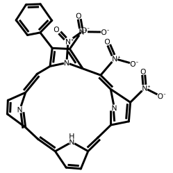 O=[N+]([O-])C1=Cc2cc3ccc(cc4nc(cc5c(-c6ccccc6)c([N+](=O)[O-])c(c([N+](=O)[O-])c1n2)n5[N+](=O)[O-])C=C4)[nH]3